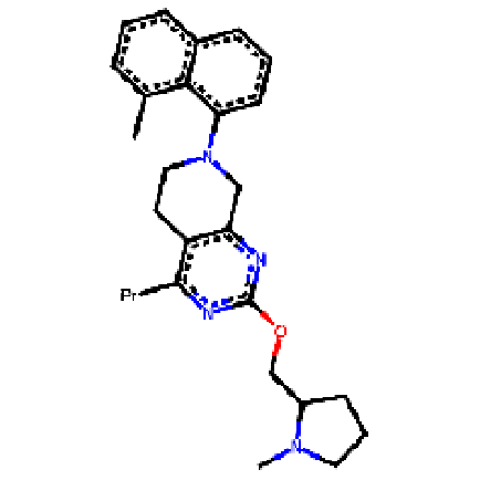 Cc1cccc2cccc(N3CCc4c(nc(OCC5CCCN5C)nc4C(C)C)C3)c12